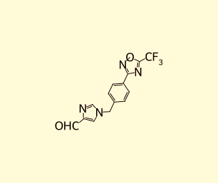 O=Cc1cn(Cc2ccc(-c3noc(C(F)(F)F)n3)cc2)cn1